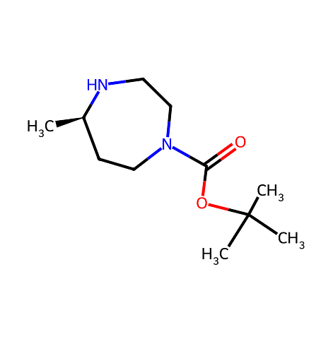 C[C@@H]1CCN(C(=O)OC(C)(C)C)CCN1